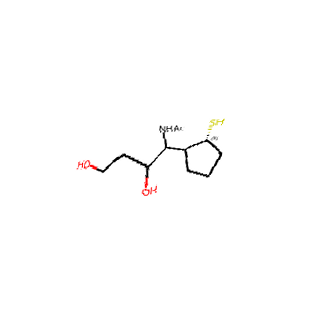 CC(=O)NC(C(O)CCO)C1CCC[C@H]1S